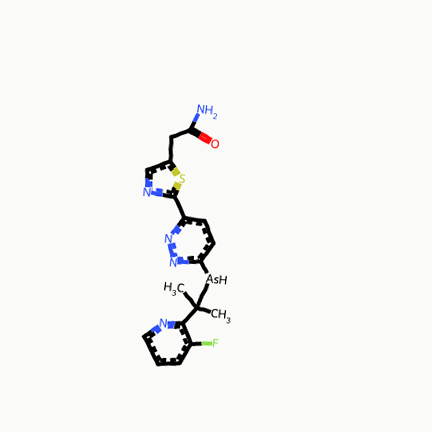 CC(C)([AsH]c1ccc(-c2ncc(CC(N)=O)s2)nn1)c1ncccc1F